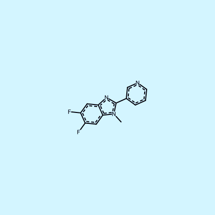 Cn1c(-c2cccnc2)nc2cc(F)c(F)cc21